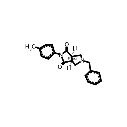 Cc1ccc(N2C(=O)[C@H]3CN(Cc4ccccc4)C[C@H]3C2=O)cc1